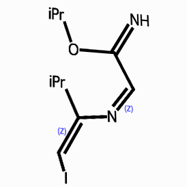 CC(C)OC(=N)/C=N\C(=C/I)C(C)C